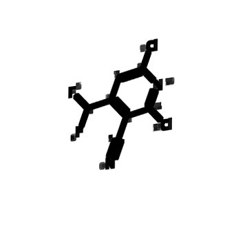 N#Cc1c(C(F)F)cc(Cl)nc1Cl